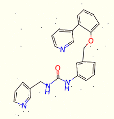 O=C(NCc1cccnc1)Nc1cccc(COc2ccccc2-c2cccnc2)c1